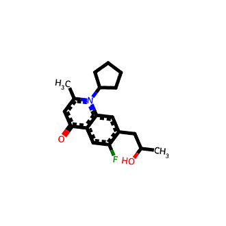 Cc1cc(=O)c2cc(F)c(CC(C)O)cc2n1C1CCCC1